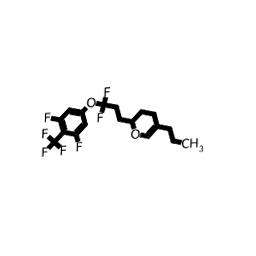 CCCC1=COC(CCC(F)(F)Oc2cc(F)c(C(F)(F)F)c(F)c2)CC1